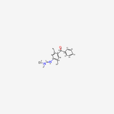 CCN(C)C=Nc1cc(C)c(C(=O)c2ccccc2)cc1C